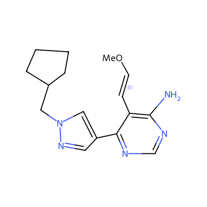 CO/C=C/c1c(N)ncnc1-c1cnn(CC2CCCC2)c1